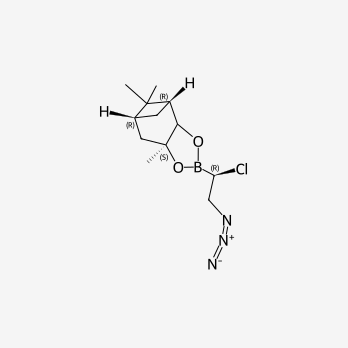 CC1(C)[C@@H]2C[C@H]1C1OB([C@@H](Cl)CN=[N+]=[N-])O[C@@]1(C)C2